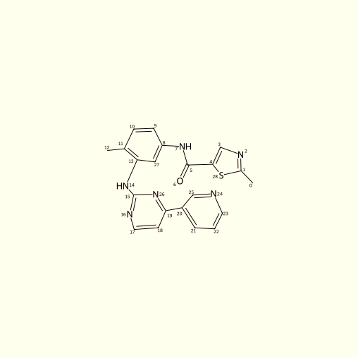 Cc1ncc(C(=O)Nc2ccc(C)c(Nc3nccc(-c4cccnc4)n3)c2)s1